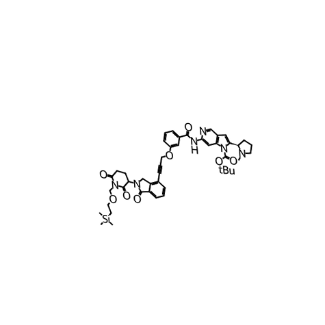 CN1CCC[C@@H]1c1cc2cnc(NC(=O)c3cccc(OCC#Cc4cccc5c4CN(C4CCC(=O)N(COCC[Si](C)(C)C)C4=O)C5=O)c3)cc2n1C(=O)OC(C)(C)C